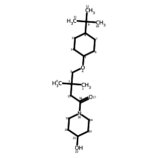 CC(C)(COC1CCC(C(C)(C)C)CC1)CC(=O)N1CCC(O)CC1